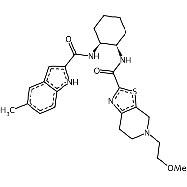 COCCN1CCc2nc(C(=O)N[C@@H]3CCCC[C@@H]3NC(=O)c3cc4cc(C)ccc4[nH]3)sc2C1